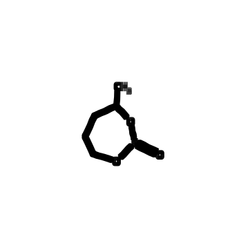 CC1CCCOS(=O)O1